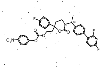 C[C@@H](c1ccc(-c2ccc(F)cc2F)cc1)N1CCC(CCOC(=O)Oc2ccc([N+](=O)[O-])cc2)(c2ccc(F)cc2)OC1=O